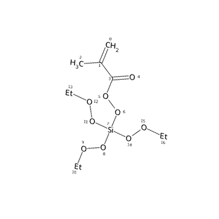 C=C(C)C(=O)OO[Si](OOCC)(OOCC)OOCC